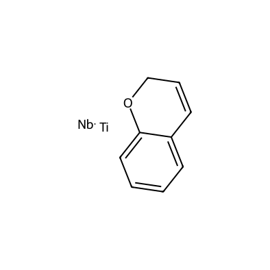 C1=Cc2ccccc2OC1.[Nb].[Ti]